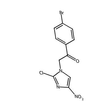 O=C(Cn1cc([N+](=O)[O-])nc1Cl)c1ccc(Br)cc1